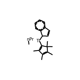 CC1=C(C)C(C)(C)[C]([Ti][CH]2C=Cc3ccccc32)=C1C.CCCC